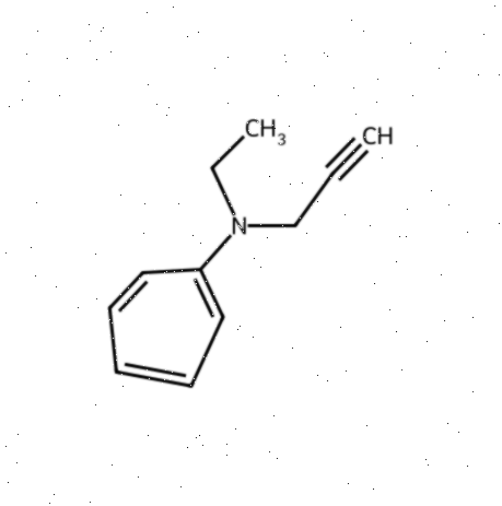 C#CCN(CC)c1ccccc1